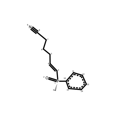 C[P@](=O)(/C=C/CCCC#N)c1ccccc1